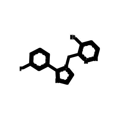 CCc1ccnnc1Cn1ccnc1-c1cccc(F)c1